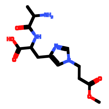 COC(=O)CCn1cnc(CC(NC(=O)C(C)N)C(=O)O)c1